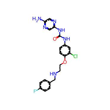 Nc1cnc(NC(=O)Nc2ccc(OCCNCc3ccc(F)cc3)c(Cl)c2)cn1